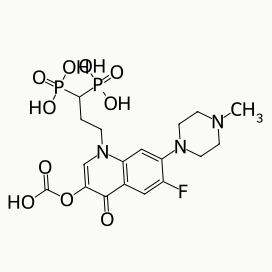 CN1CCN(c2cc3c(cc2F)c(=O)c(OC(=O)O)cn3CCC(P(=O)(O)O)P(=O)(O)O)CC1